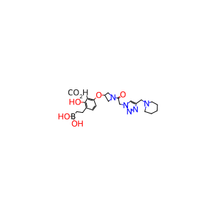 O=C(O)c1c(OC2CN(C(=O)Cn3cc(CN4CCCCC4)nn3)C2)ccc(CCB(O)O)c1O